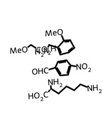 COCC(=O)O.COc1ccccc1CN.NCCCC[C@H](N)C(=O)O.O=Cc1ccc([N+](=O)[O-])cc1